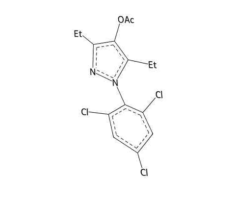 CCc1nn(-c2c(Cl)cc(Cl)cc2Cl)c(CC)c1OC(C)=O